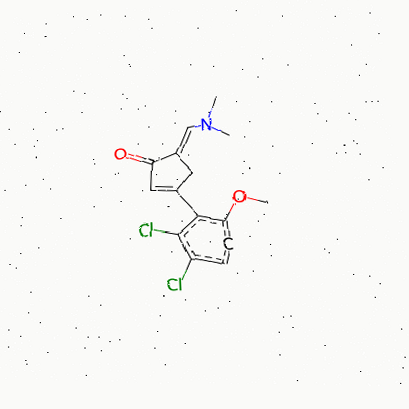 COc1ccc(Cl)c(Cl)c1C1=CC(=O)/C(=C/N(C)C)C1